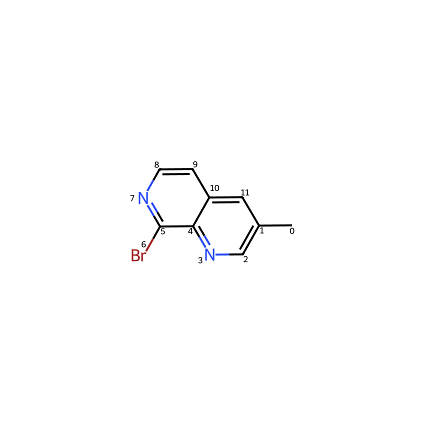 Cc1cnc2c(Br)nccc2c1